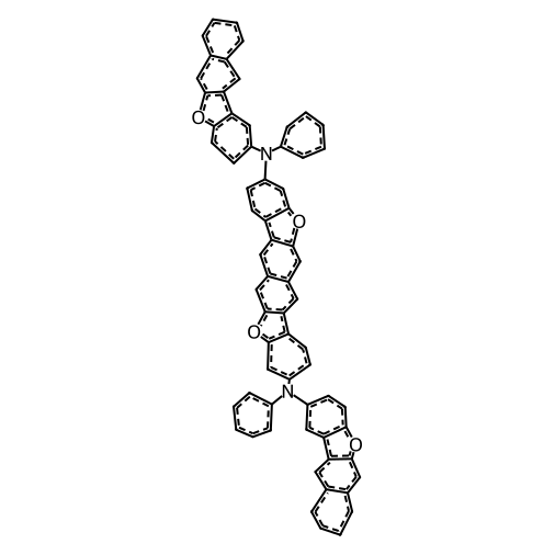 c1ccc(N(c2ccc3c(c2)oc2cc4cc5c(cc4cc23)oc2cc(N(c3ccccc3)c3ccc4oc6cc7ccccc7cc6c4c3)ccc25)c2ccc3oc4cc5ccccc5cc4c3c2)cc1